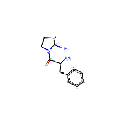 NC(Cc1ccccc1)C(=O)N1CCCC1N